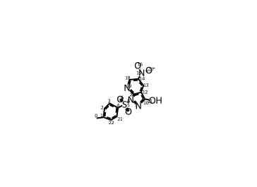 Cc1ccc(S(=O)(=O)n2nc(O)c3cc([N+](=O)[O-])cnc32)cc1